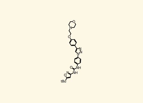 CC(C)(C)c1cc(NC(=O)Nc2ccc(-n3cc(-c4ccc(OCCN5CCOCC5)cc4)nn3)cc2)no1